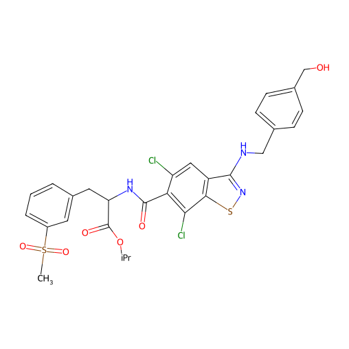 CC(C)OC(=O)C(Cc1cccc(S(C)(=O)=O)c1)NC(=O)c1c(Cl)cc2c(NCc3ccc(CO)cc3)nsc2c1Cl